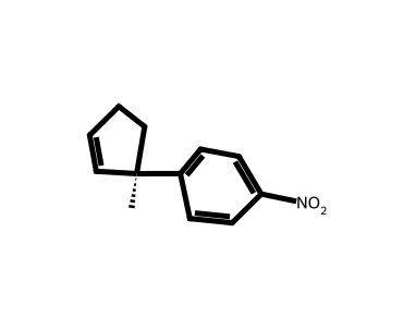 C[C@]1(c2ccc([N+](=O)[O-])cc2)C=CCC1